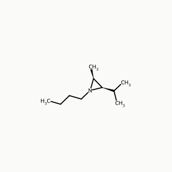 CCCCN1[C@H](C(C)C)[C@@H]1C